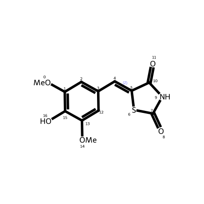 COc1cc(/C=C2\SC(=O)NC2=O)cc(OC)c1O